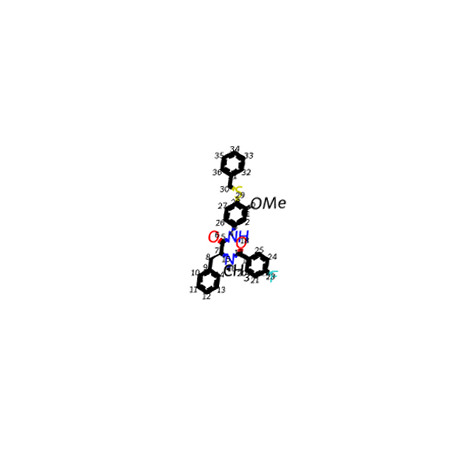 COc1cc(NC(=O)[C@H](Cc2ccccc2)N(C)C(=O)c2ccc(F)cc2)ccc1SCc1ccccc1